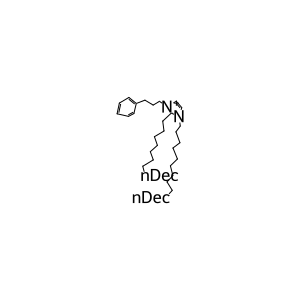 CCCCCCCCCCCCCCCCCCCn1cc[n+](CCCc2ccccc2)c1CCCCCCCCCCCCCCCCC